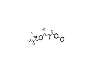 CCCNC(Cc1ccc(OCCNC(=O)c2ccc(-c3ccccc3)cc2)cc1)C(=O)OCC.Cl